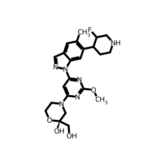 COc1nc(N2CCO[C@@](O)(CO)C2)cc(-n2ncc3cc(C)c(C4CCNCC4F)cc32)n1